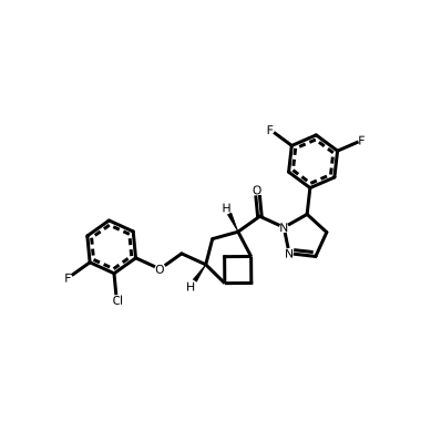 O=C([C@H]1C[C@@H](COc2cccc(F)c2Cl)C2CC1C2)N1N=CCC1c1cc(F)cc(F)c1